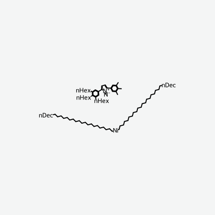 CCCCCCCCCCCCCCCCCCCCCCCCCCCCC[CH2][Ni][CH2]CCCCCCCCCCCCCCCCCCCCCCCCCCCCC.CCCCCCc1cc(C2=CC=C(c3cc(C)c(C)c(C)c3)[N+]2=[N-])cc(CCCCCC)c1CCCCCC